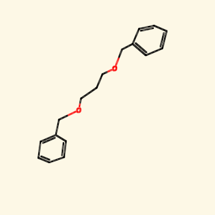 c1ccc(COCCCOCc2ccccc2)cc1